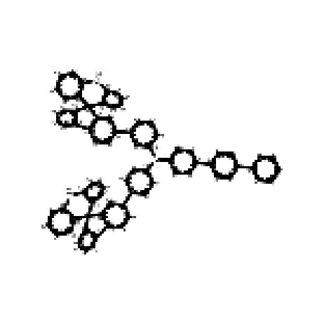 c1ccc(-c2ccc(-c3ccc(N(c4ccc(-c5ccc6c(c5)C5(c7ccccc7Oc7ccccc75)c5ccccc5-6)cc4)c4cccc(-c5ccc6c(c5)C5(c7ccccc7Oc7ccccc75)c5ccccc5-6)c4)cc3)cc2)cc1